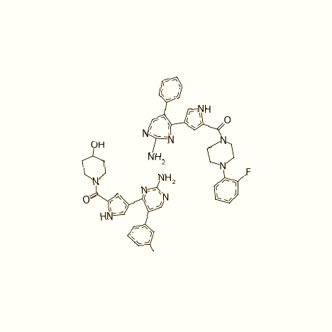 Cc1cccc(-c2cnc(N)nc2-c2c[nH]c(C(=O)N3CCC(O)CC3)c2)c1.Nc1ncc(-c2ccccc2)c(-c2c[nH]c(C(=O)N3CCN(c4ccccc4F)CC3)c2)n1